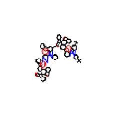 CC(C)(C)c1ccc(N(c2ccc(C(C)(C)C)cc2)c2cccc3c2oc2c4c(ccc23)C2(c3ccccc3-c3cc(-c5cc(N(c6ccccc6)c6ccc(-c7cccc8c7oc7c9c(ccc78)C7(c8ccccc8-c8ccccc87)c7cccc8cccc-9c78)nc6)c6oc7ccccc7c6c5)ccc32)c2cccc3cccc-4c23)cc1